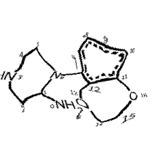 NC1CNCCN1c1cccc2c1OCCO2